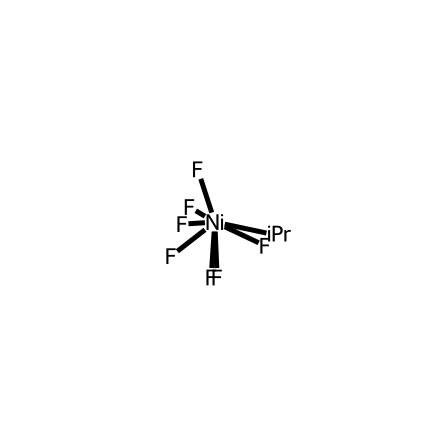 C[CH](C)[Ni]([F])([F])([F])([F])([F])([F])[F]